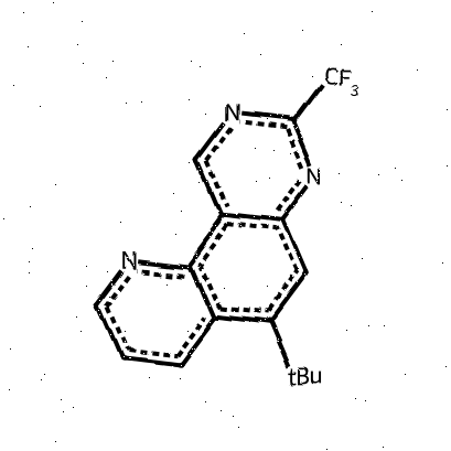 CC(C)(C)c1cc2nc(C(F)(F)F)ncc2c2ncccc12